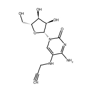 C#CCNc1cn([C@@H]2O[C@H](CO)[C@@H](O)[C@H]2O)c(=O)nc1N